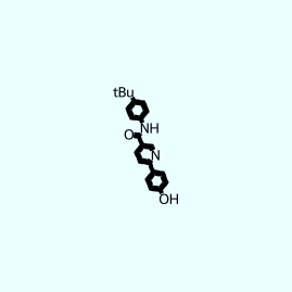 CC(C)(C)c1ccc(NC(=O)c2ccc(-c3ccc(O)cc3)nc2)cc1